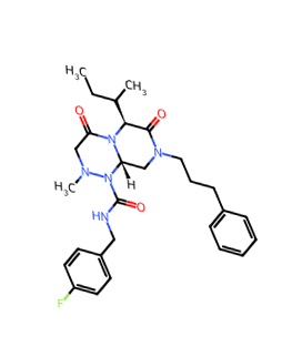 CCC(C)[C@H]1C(=O)N(CCCc2ccccc2)C[C@H]2N1C(=O)CN(C)N2C(=O)NCc1ccc(F)cc1